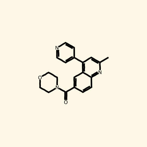 Cc1cc(-c2ccncc2)c2cc(C(=O)N3CCOCC3)ccc2n1